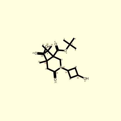 CC(C)(C)OC(=O)C1(C(C)(C)C)CN(C2CC(O)C2)C(=O)CC1(C)C(=O)O